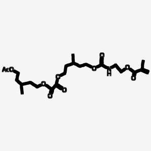 C=C(C)C(=O)OCCNC(=O)OCCC(C)CCOC(=O)C(=O)OCCC(C)CCOC(C)=O